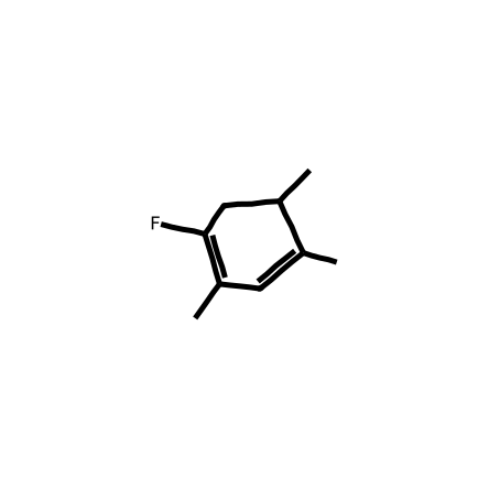 CC1=CC(C)=C(F)CC1C